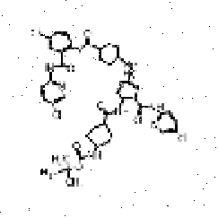 CC(C)(C)OC(=O)NC1CCC(C(=O)Nc2ccc(Cl)cc2C(=O)Nc2ccc(Cl)cn2)CC1.NC1CCC(C(=O)Nc2ccc(Cl)cc2C(=O)Nc2ccc(Cl)cn2)CC1